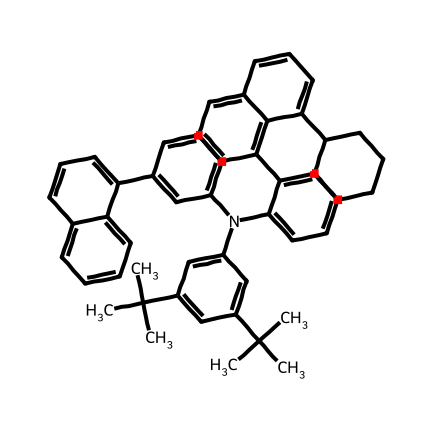 CC(C)(C)c1cc(N(c2cccc(-c3cccc4ccccc34)c2)c2ccccc2-c2cccc3cccc(C4CCCCC4)c23)cc(C(C)(C)C)c1